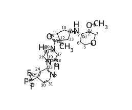 CO[C@@H]1COCC[C@@H]1N[C@@H]1CC[C@](C)(C(=O)N2C[C@@H]3C[C@H]2CN3c2cc(C(F)(F)F)ccn2)C1